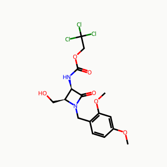 COc1ccc(CN2C(=O)[C@H](NC(=O)OCC(Cl)(Cl)Cl)[C@@H]2CO)c(OC)c1